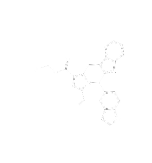 CCOC(=O)c1cc(C=O)n2c1Cc1c([nH]c3ccccc13)C2c1ccc2occc2c1